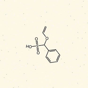 C=COC(c1ccccc1)S(=O)(=O)O